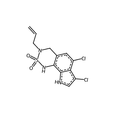 C=CCN1Cc2cc(Cl)c3c(Cl)c[nH]c3c2NS1(=O)=O